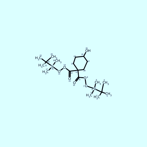 CC(C)(C)[Si](C)(C)OOC(=O)C1(C(=O)OO[Si](C)(C)C(C)(C)C)CCC(O)CC1